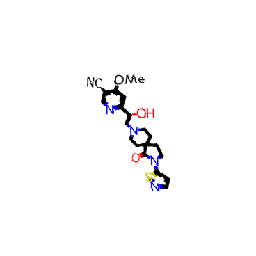 COc1cc([C@@H](O)CN2CCC3(CC2)CCN(c2ccns2)C3=O)ncc1C#N